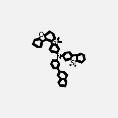 C[Si]1(C)c2ccccc2-c2ccc(N(c3cccc(-c4ccc5ccccc5c4)c3)c3ccc4c(c3)[Si](C)(C)c3ccc5oc6ccccc6c5c3-4)cc21